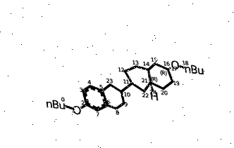 CCCCOc1ccc2c(c1)CCC(C1CCC3C[C@H](OCCCC)CC[C@@H]3C1)C2